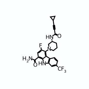 NC(=O)c1cc(F)c(N2CCC[C@H](NC(=O)C#CC3CC3)C2)c2c1[nH]c1cc(C(F)(F)F)ccc12